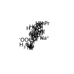 CCCNc1ncc(N(C(N)=O)C(C(=O)NC2C(=O)N3C(C(=O)[O-])=C(CSc4nnnn4C)CS[C@@H]23)c2ccco2)c(O)n1.[Na+]